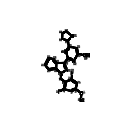 CCOc1cc(F)c(Cn2nc(-c3nc(O)cc(C4CCCO4)n3)c3ccccc32)c(F)c1